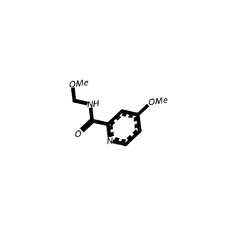 COCNC(=O)c1cc(OC)ccn1